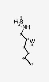 BNCCCCCC.[W]